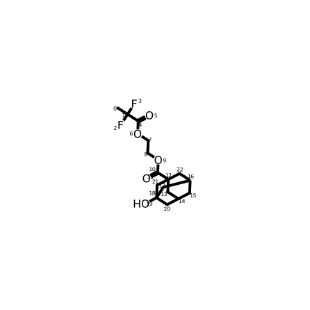 CC(F)(F)C(=O)OCCOC(=O)C12CC3CC(CC(O)(C3)C1)C2